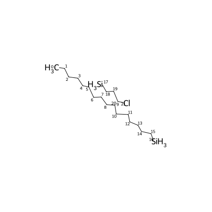 CCCCCCCCCCCCCCCC[SiH3].[SiH3]CCCCl